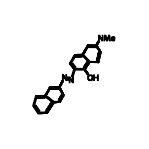 CNc1ccc2c(O)c(N=Nc3ccc4ccccc4c3)ccc2c1